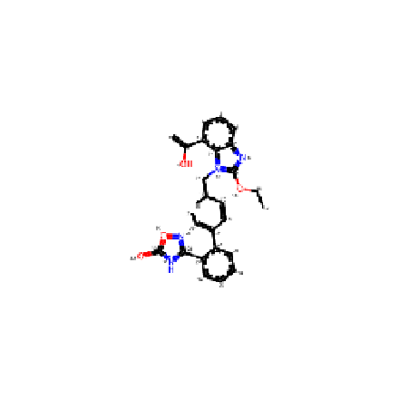 C=C(O)c1cccc2nc(OCC)n(CC(C)/C=C\C(=C/C)c3ccccc3-c3noc(=O)[nH]3)c12